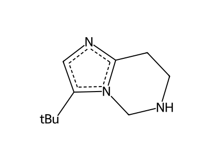 CC(C)(C)c1cnc2n1CNCC2